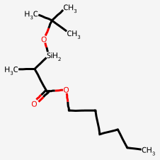 CCCCCCOC(=O)C(C)[SiH2]OC(C)(C)C